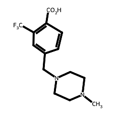 CN1CCN(Cc2ccc(C(=O)O)c(C(F)(F)F)c2)CC1